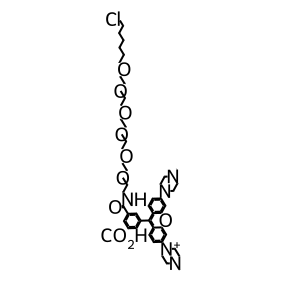 CN1CCN(c2ccc3c(-c4cc(C(=O)NCCOCCOCCOCCOCCOCCOCCCCCCCl)ccc4C(=O)O)c4ccc(=[N+]5CCN(C)CC5)cc-4oc3c2)CC1